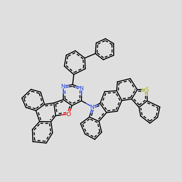 c1ccc(-c2cccc(-c3nc(-n4c5ccccc5c5cc6c(ccc7sc8ccccc8c76)cc54)c4oc5c6ccccc6c6ccccc6c5c4n3)c2)cc1